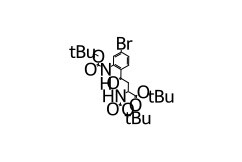 CC(C)(C)OC(=O)Nc1cc(Br)ccc1C(=O)CC(NC(=O)OC(C)(C)C)C(=O)OC(C)(C)C